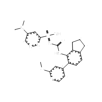 COc1cc(-c2ccc3c(c2NC(=O)N=S(N)(=O)c2cc(N(C)C)cnn2)CCC3)ccn1